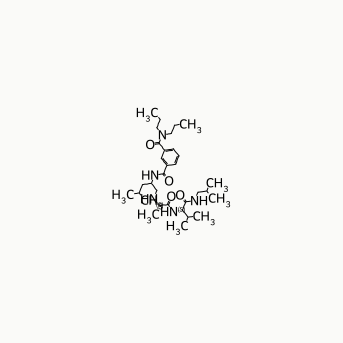 CCCN(CCC)C(=O)c1cccc(C(=O)NC(CN[C@@H](C)C(=O)N[C@H](C(=O)NCC(C)C)C(C)C)CC(C)C)c1